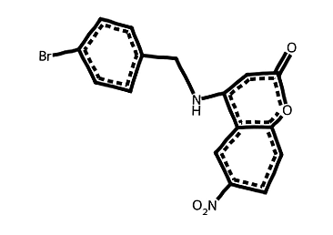 O=c1cc(NCc2ccc(Br)cc2)c2cc([N+](=O)[O-])ccc2o1